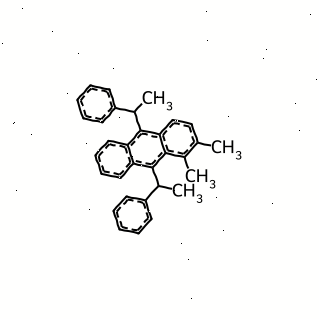 Cc1ccc2c(C(C)c3ccccc3)c3ccccc3c(C(C)c3ccccc3)c2c1C